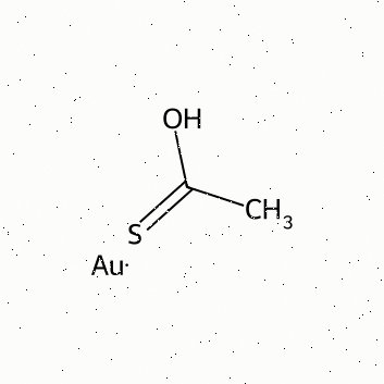 CC(O)=S.[Au]